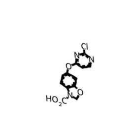 O=C(O)N1COc2cc(Oc3ccnc(Cl)n3)ccc21